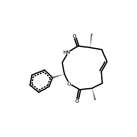 C[C@@H]1C/C=C/C[C@H](C)C(=O)O[C@H](c2ccccc2)CNC1=O